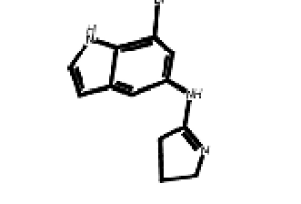 Brc1cc(NC2=NCCC2)cc2cc[nH]c12